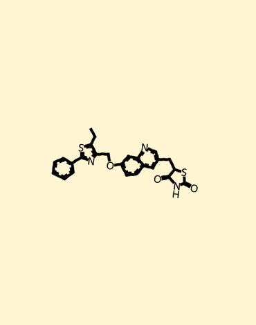 CCc1sc(-c2ccccc2)nc1COc1ccc2cc(CC3SC(=O)NC3=O)cnc2c1